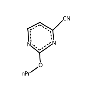 CCCOc1nccc(C#N)n1